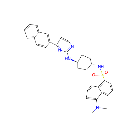 CN(C)c1cccc2c(S(=O)(=O)N[C@H]3CC[C@H](Nc4nccc(-c5ccc6ccccc6c5)n4)CC3)cccc12